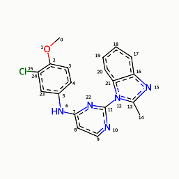 COc1ccc(Nc2ccnc(-n3c(C)nc4ccccc43)n2)cc1Cl